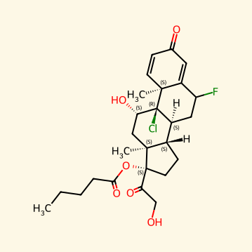 CCCCC(=O)O[C@@]1(C(=O)CO)CC[C@H]2[C@@H]3CC(F)C4=CC(=O)C=C[C@]4(C)[C@@]3(Cl)[C@@H](O)C[C@@]21C